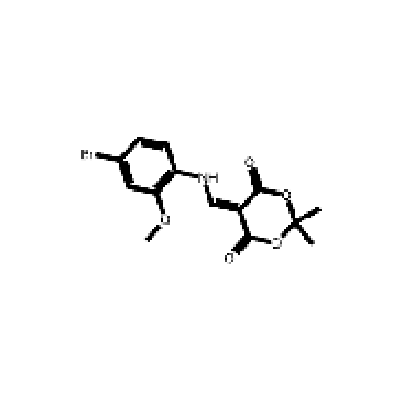 COc1cc(Br)ccc1NC=C1C(=O)OC(C)(C)OC1=O